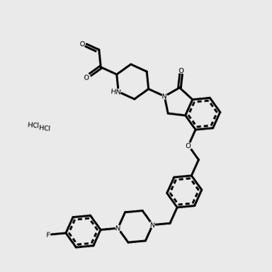 Cl.Cl.O=CC(=O)C1CCC(N2Cc3c(OCc4ccc(CN5CCN(c6ccc(F)cc6)CC5)cc4)cccc3C2=O)CN1